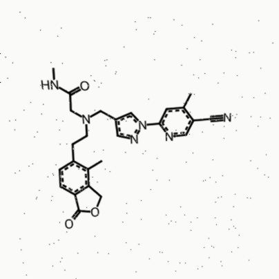 CNC(=O)CN(CCc1ccc2c(c1C)COC2=O)Cc1cnn(-c2cc(C)c(C#N)cn2)c1